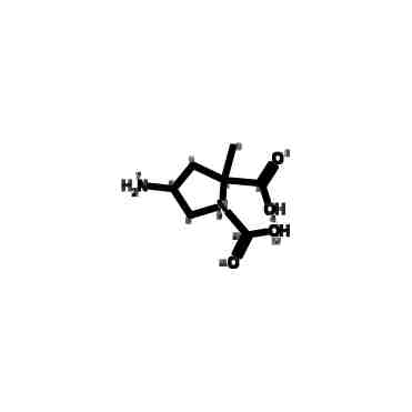 CC1(C(=O)O)CC(N)CN1C(=O)O